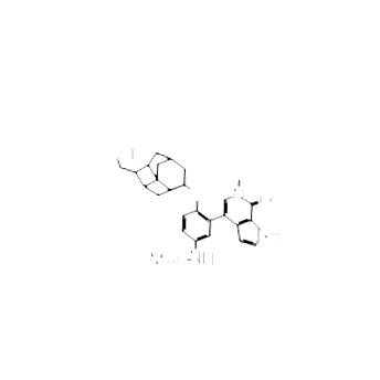 CSNc1ccc(OC23CC4CC5C(CO)C(C2)C5(C4)C3)c(-c2cn(C)c(=O)c3[nH]ccc23)c1